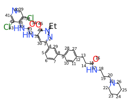 CCn1nc(-c2cccc(-c3ccc(CCC(=O)NCCCN4CCCCC4)cc3)c2)cc(NC(=O)Nc2c(Cl)cncc2Cl)c1=O